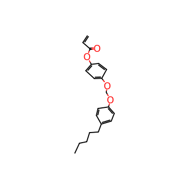 C=CC(=O)Oc1ccc(OCOc2ccc(CCCCC)cc2)cc1